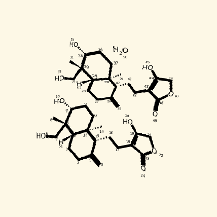 C=C1CC[C@@H]2[C@](C)(CO)[C@H](O)CC[C@@]2(C)[C@@H]1CCC1=C(O)COC1=O.C=C1CC[C@@H]2[C@](C)(CO)[C@H](O)CC[C@@]2(C)[C@@H]1CCC1=C(O)COC1=O.O